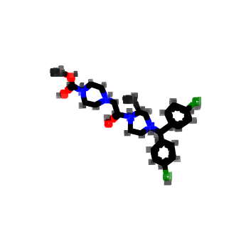 CC(C)(C)OC(=O)N1CCN(CC(=O)N2CCN(C(c3ccc(Cl)cc3)c3ccc(Cl)cc3)C[C@@H]2C(C)(C)C)CC1